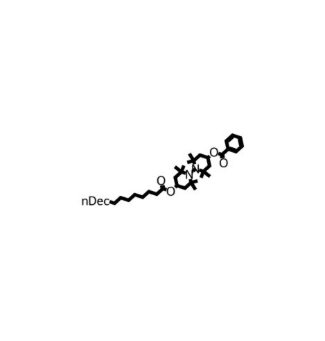 CCCCCCCCCCCCCCCCCC(=O)OC1CC(C)(C)N(N2C(C)(C)CC(OC(=O)c3ccccc3)CC2(C)C)C(C)(C)C1